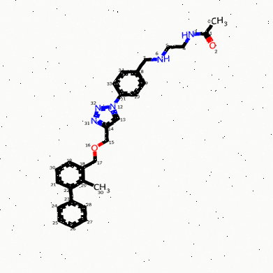 CC(=O)NCCNCc1ccc(-n2cc(COCc3cccc(-c4ccccc4)c3C)nn2)cc1